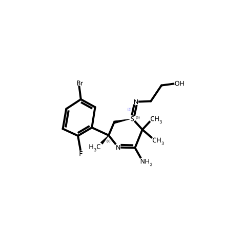 CC1(C)C(N)=N[C@](C)(c2cc(Br)ccc2F)C/[S@]1=N/CCO